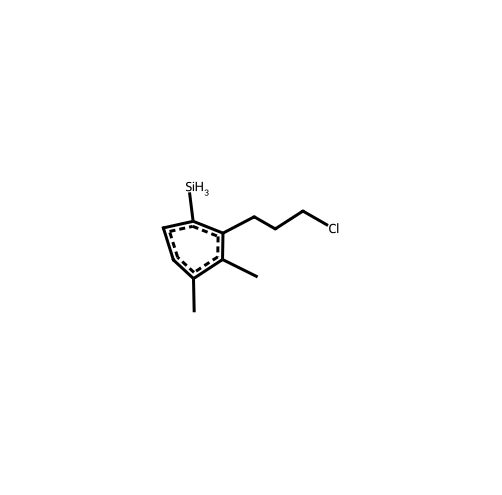 Cc1ccc([SiH3])c(CCCCl)c1C